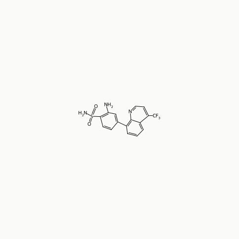 Nc1cc(-c2cccc3c(C(F)(F)F)ccnc23)ccc1S(N)(=O)=O